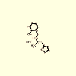 CC(Cc1cccs1)NCc1ccccc1Cl.Cl